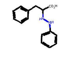 O=C(O)C(Cc1ccccc1)NNc1ccccc1